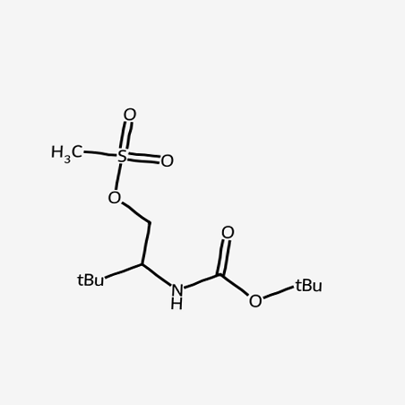 CC(C)(C)OC(=O)NC(COS(C)(=O)=O)C(C)(C)C